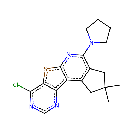 CC1(C)Cc2c(N3CCCC3)nc3sc4c(Cl)ncnc4c3c2C1